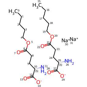 CCCCCOC(=O)CC[C@H](N)C(=O)[O-].CCCCCOC(=O)CC[C@H](N)C(=O)[O-].[Na+].[Na+]